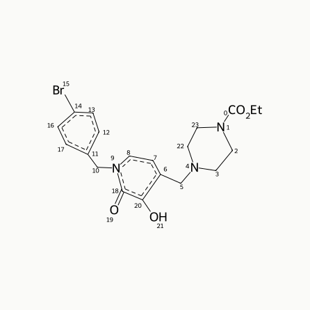 CCOC(=O)N1CCN(Cc2ccn(Cc3ccc(Br)cc3)c(=O)c2O)CC1